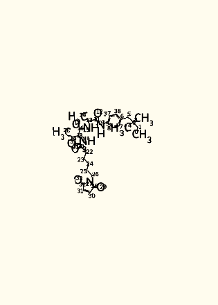 CCC(C)(C)Cc1ccc(NC(=O)[C@H](C)NC(=O)C(NC(=O)CCCCCN2C(=O)C=CC2=O)C(C)C)cc1